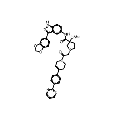 CO[C@@]1(C(=O)Nc2ccc3[nH]nc(-c4ccc5c(c4)OCO5)c3c2)CCN(CC(=O)N2CC=C(c3ccc(-c4ncccn4)cc3)CC2)C1